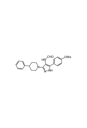 COc1ccc(-c2[nH]nc(N3CCC(c4ccccc4)CC3)c2NC=O)cc1